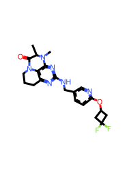 CC1C(=O)N2CCCc3nc(NCc4ccc(OC5CC(F)(F)C5)nc4)nc(c32)N1C